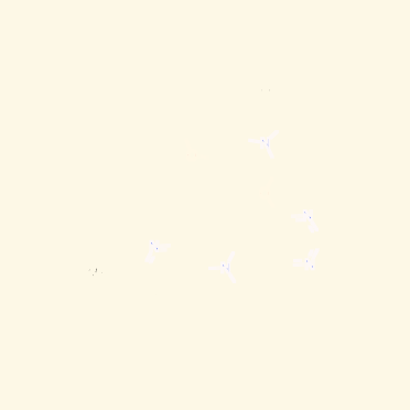 COc1ncc(N2CCc3ncnc(OC4CCCN4C4COCCC4C=O)c3C2)cc1F